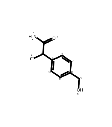 NC(=O)C(Cl)c1ccc(CO)cc1